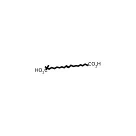 CC(C)(CCCCCCCC=CCCCCCCCCC(=O)O)C(=O)O